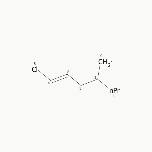 [CH2]C(CC=CCl)CCC